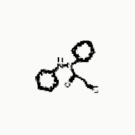 O=CCC(=O)N(Nc1ccccc1)c1ccccc1